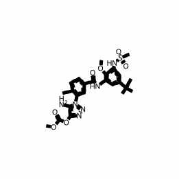 COC(=O)Oc1nnn(-c2cc(C(=O)Nc3cc(C(C)(C)C)cc(NS(C)(=O)=O)c3OC)ccc2C)c1N